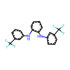 FC(F)(F)c1cccc(Nc2ccccc2Nc2cccc(C(F)(F)F)c2)c1